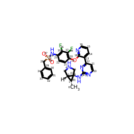 C[C@@H]1[C@@H]2CNC[C@]12Nc1nccc(-c2cccnc2Oc2ccc(NS(=O)(=O)Cc3ccccc3)c(F)c2F)n1